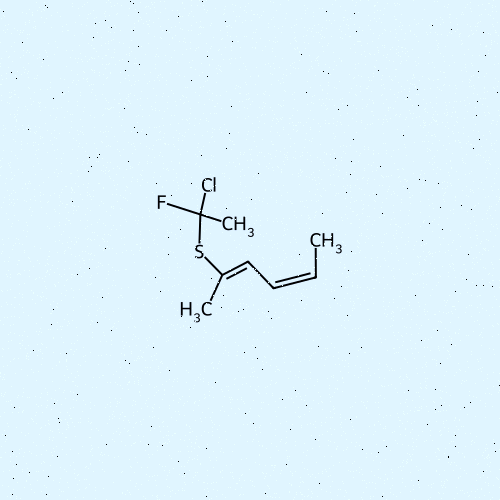 C/C=C\C=C(/C)SC(C)(F)Cl